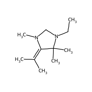 CCN1CN(C)C(=C(C)C)C1(C)C